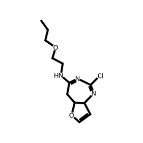 CCCOCCNC1=NC(Cl)=NC2C=COC2C1